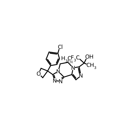 C[C@H]1Cn2c(nnc2C2(c3ccc(Cl)cc3)COC2)-c2cnc(C(C)(O)C(F)(F)F)n21